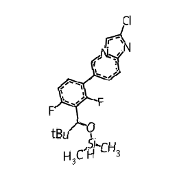 C[SiH](C)OC(c1c(F)ccc(-c2ccc3nc(Cl)cn3c2)c1F)C(C)(C)C